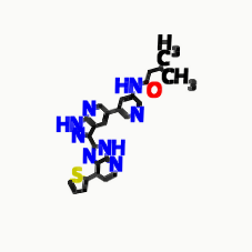 CC(C)CC(=O)Nc1cncc(-c2cnc3[nH]nc(-c4nc5c(-c6cccs6)ccnc5[nH]4)c3c2)c1